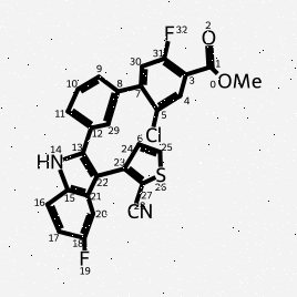 COC(=O)c1cc(Cl)c(-c2cccc(-c3[nH]c4ccc(F)cc4c3-c3ccsc3C#N)c2)cc1F